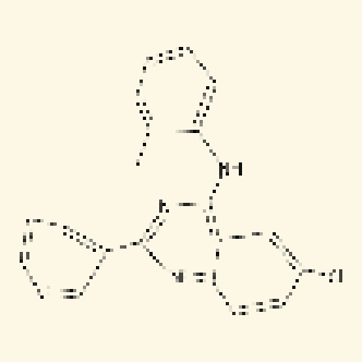 Cc1ccccc1Nc1nc(-c2cccnc2)nc2ccc(Cl)cc12